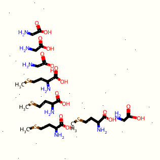 CSCCC(N)C(=O)O.CSCCC(N)C(=O)O.CSCCC(N)C(=O)O.CSCCC(N)C(=O)O.NCC(=O)O.NCC(=O)O.NCC(=O)O.NCC(=O)O